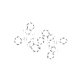 C[Si]1(c2ccc([Si]3(C)n4c(nc5ccccc54)N(c4ccccc4)c4nc5ccccc5n43)cc2)n2c(nc3ccccc32)N(c2ccccc2)c2nc3ccccc3n21